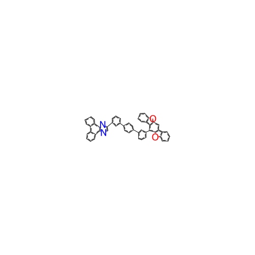 c1cc(-c2ccc(-c3cccc(-c4c5oc6ccccc6c5cc5oc6ccccc6c45)c3)cc2)cc(-c2cnc3c4ccccc4c4ccccc4c3n2)c1